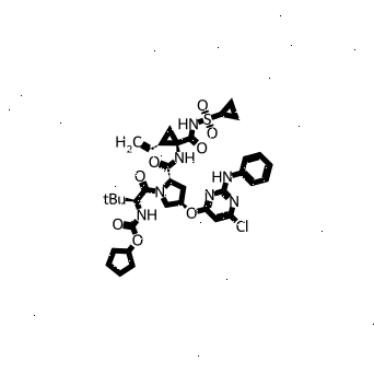 C=C[C@@H]1C[C@]1(NC(=O)[C@@H]1C[C@@H](Oc2cc(Cl)nc(Nc3ccccc3)n2)CN1C(=O)[C@@H](NC(=O)OC1CCCC1)C(C)(C)C)C(=O)NS(=O)(=O)C1CC1